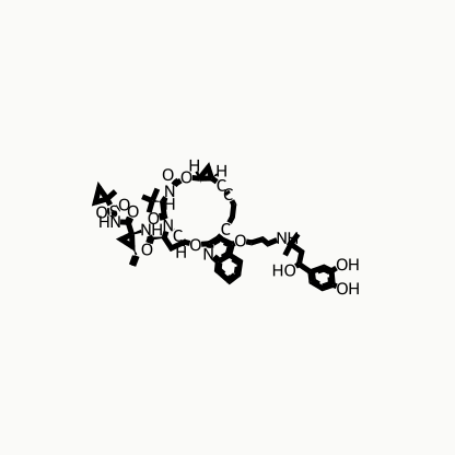 C=C[C@@H]1C[C@]1(NC(=O)[C@@H]1C[C@@H]2CN1C(=O)[C@H](C(C)(C)C)NC(=O)O[C@@H]1C[C@H]1CCCCCc1c(nc3ccccc3c1OCCCNC(C)(C)CC(O)c1ccc(O)c(O)c1)O2)C(=O)NS(=O)(=O)C1(C)CC1